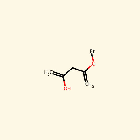 C=C(O)CC(=C)OCC